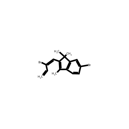 C=C/C(Br)=C\C1=C(C)c2ccc(Br)cc2C1(C)C